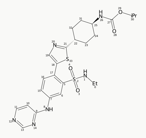 CCNS(=O)(=O)c1cc(Nc2ccncn2)ccc1-c1cnc([C@H]2CC[C@H](NC(=O)OC(C)C)CC2)s1